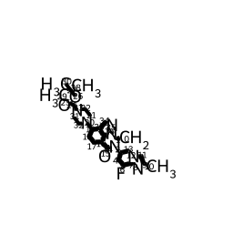 C=c1n(-c2cc(F)c3nc(C)cn3c2)c(=O)c2ccc(N3CCN(C(=O)OC(C)(C)C)CC3)c3cnn1c32